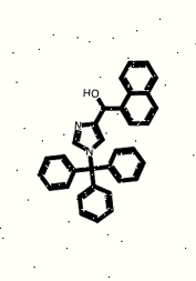 OC(c1cn(C(c2ccccc2)(c2ccccc2)c2ccccc2)cn1)c1cccc2ccccc12